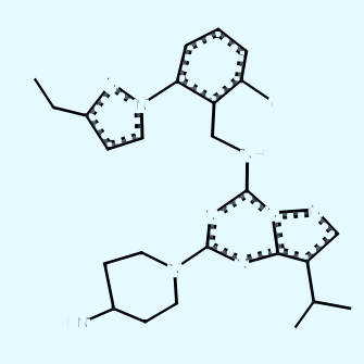 CC(C)c1cnn2c(NCc3c(Cl)cccc3-n3ccc(CO)n3)nc(N3CCC(N)CC3)nc12